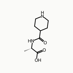 C[C@H](NC(=O)C1CCNCC1)C(=O)O